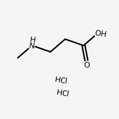 CNCCC(=O)O.Cl.Cl